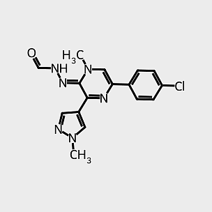 Cn1cc(-c2nc(-c3ccc(Cl)cc3)cn(C)/c2=N\NC=O)cn1